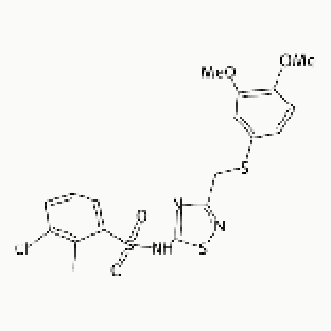 COc1ccc(SCc2nsc(NS(=O)(=O)c3cccc(Cl)c3C)n2)cc1OC